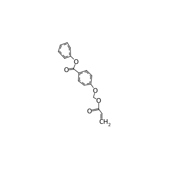 C=CC(=O)OCOc1ccc(C(=O)Oc2ccccc2)cc1